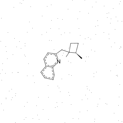 C[C@@H]1CCC1(C)Cc1ccc2ccccc2n1